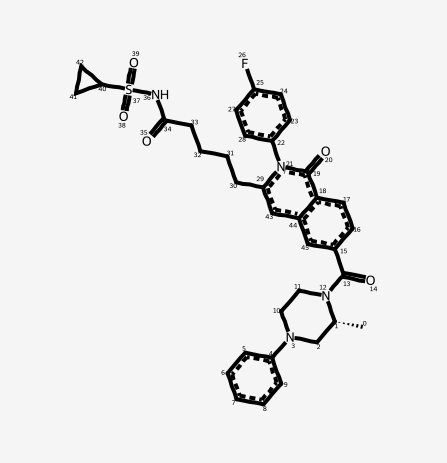 C[C@@H]1CN(c2ccccc2)CCN1C(=O)c1ccc2c(=O)n(-c3ccc(F)cc3)c(CCCCC(=O)NS(=O)(=O)C3CC3)cc2c1